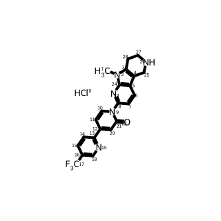 Cl.Cn1c2c(c3ccc(-n4ccc(-c5ccc(C(F)(F)F)cn5)cc4=O)nc31)CNCC2